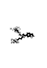 CC(C)[Si](OCCCc1nc(-c2ccc3ccoc3c2)cn1COCC[Si](C)(C)C)(C(C)C)C(C)C